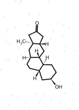 C[C@]12CC(=O)C[C@@H]1C[C@H]1[C@@H](CC[C@H]3C[C@H](O)CC[C@@H]31)C2